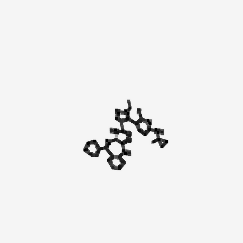 CCn1ncc(C(=O)N[C@H]2N=C(c3ccccc3)c3ccccc3NC2=O)c1-c1ccc(NC2(C)CC2)nc1F